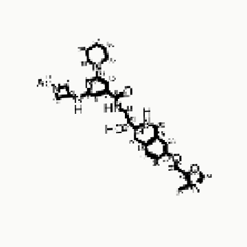 CC(=O)N1CC(Nc2cc(C(=O)NC[C@@H](O)[C@@H]3Cc4ccc(OCc5ocnc5C)cc4CN3)cc(N3CCCCC3)n2)C1